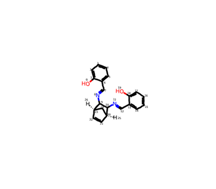 Oc1ccccc1C=NC1C(N=Cc2ccccc2O)[C@H]2C=C[C@@H]1C2